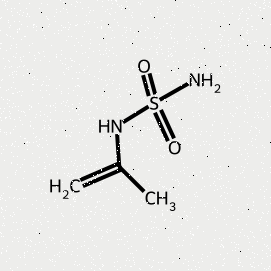 C=C(C)NS(N)(=O)=O